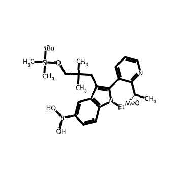 CCn1c(-c2cccnc2[C@H](C)OC)c(CC(C)(C)CO[Si](C)(C)C(C)(C)C)c2cc(B(O)O)ccc21